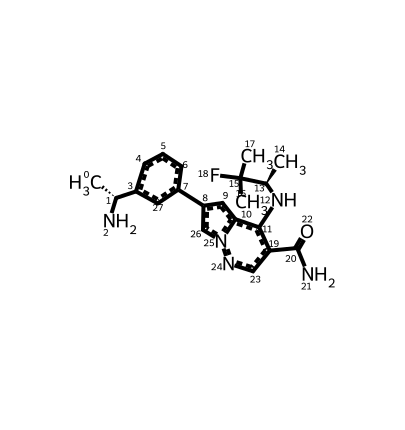 C[C@@H](N)c1cccc(-c2cc3c(N[C@H](C)C(C)(C)F)c(C(N)=O)cnn3c2)c1